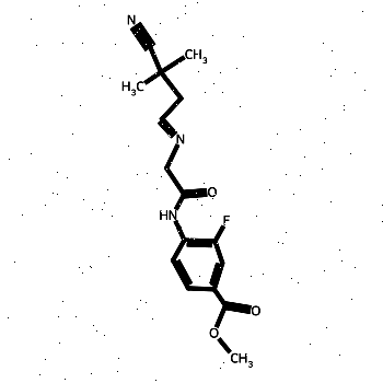 COC(=O)c1ccc(NC(=O)C/N=C/CC(C)(C)C#N)c(F)c1